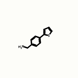 NCc1ccc(-c2cc[c]s2)cc1